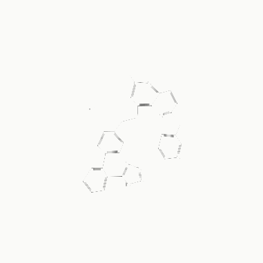 CCc1cc(OCc2ccc(-c3ccccc3-c3nnn[nH]3)cc2)c2nc(Oc3cccnc3)ccc2n1.Cl.Cl